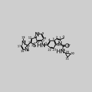 Cc1cc2cc(Nc3ccnc4cc(-c5nccn5C)sc34)ccc2n1C(=O)NC1CC1